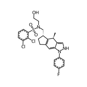 C[C@H]1C2=CNN(c3ccc(F)cc3)C2=CC2=C1[C@@H](CN(CCO)S(=O)(=O)c1cccc(Cl)c1Cl)CC2